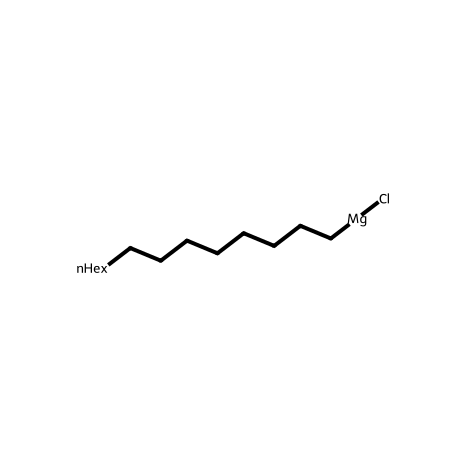 CCCCCCCCCCCCC[CH2][Mg][Cl]